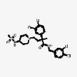 CC(CCN1CCC(NS(C)(=O)=O)CC1)(C(=O)NCc1ccc(Cl)c(Cl)c1)c1ccc(Cl)c(Cl)c1